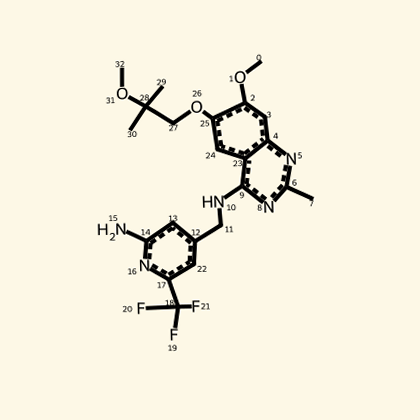 COc1cc2nc(C)nc(NCc3cc(N)nc(C(F)(F)F)c3)c2cc1OCC(C)(C)OC